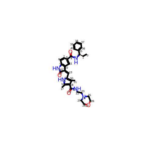 CC[C@@H](NC(=O)c1ccc2c(c1)/C(=C/c1[nH]c(C)c(C(=O)NCCN3CCOCC3)c1C)C(=O)N2)c1ccccc1